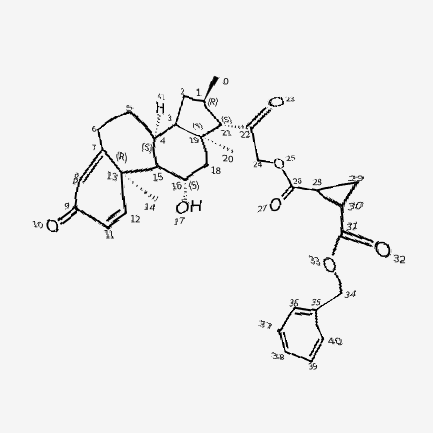 C[C@@H]1CC2[C@@H]3CCC4=CC(=O)C=C[C@]4(C)C3[C@@H](O)C[C@]2(C)[C@H]1C(=O)COC(=O)C1CC1C(=O)OCc1ccccc1